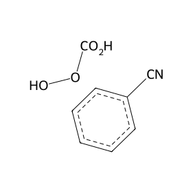 N#Cc1ccccc1.O=C(O)OO